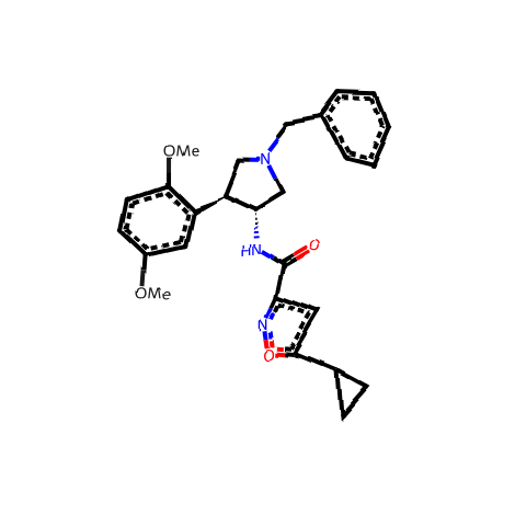 COc1ccc(OC)c([C@H]2CN(Cc3ccccc3)C[C@@H]2NC(=O)c2cc(C3CC3)on2)c1